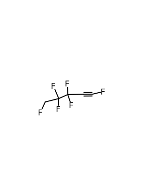 FC#CC(F)(F)C(F)(F)CF